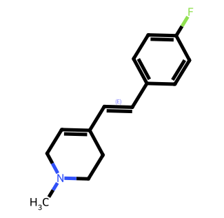 CN1CC=C(/C=C/c2ccc(F)cc2)CC1